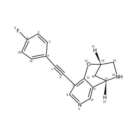 Fc1ccc(C#Cc2cncc3c2O[C@@H]2CN[C@H]3C2)cc1